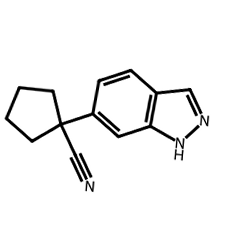 N#CC1(c2ccc3cn[nH]c3c2)CCCC1